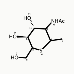 CC(=O)NC1C(C)SC(CO)[C@@H](O)[C@@H]1O